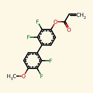 C=CC(=O)Oc1ccc(-c2ccc(OC)c(F)c2F)c(F)c1F